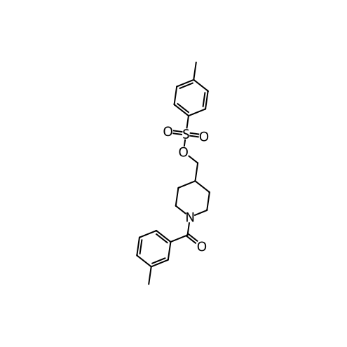 Cc1ccc(S(=O)(=O)OCC2CCN(C(=O)c3cccc(C)c3)CC2)cc1